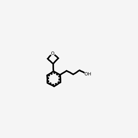 OCCCc1ccccc1C1COC1